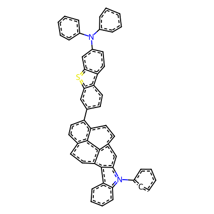 c1ccc(N(c2ccccc2)c2ccc3c(c2)sc2cc(-c4ccc5ccc6c7c(ccc4c57)cc4c6c5ccccc5n4-c4ccccc4)ccc23)cc1